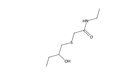 CCNC(=O)CSCC(O)CC